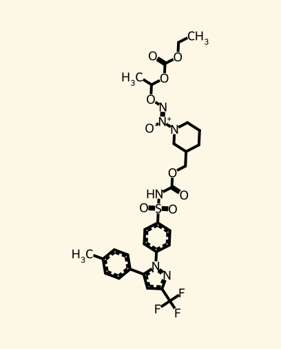 CCOC(=O)OC(C)O/N=[N+](\[O-])N1CCCC(COC(=O)NS(=O)(=O)c2ccc(-n3nc(C(F)(F)F)cc3-c3ccc(C)cc3)cc2)C1